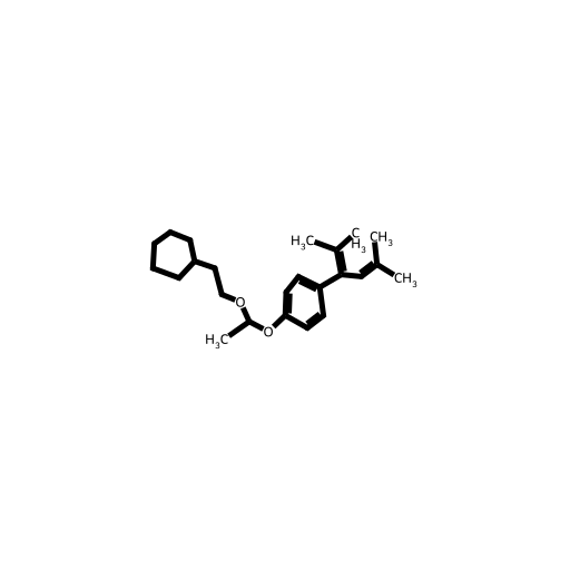 CC(C)=CC(=C(C)C)c1ccc(OC(C)OCCC2CCCCC2)cc1